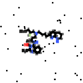 COC[C@@H](F)CN(CCCCc1ccc2c(n1)NCCC2)CC[C@H](Nc1c2ccccc2nc(C)[n+]1O)C(C)=O